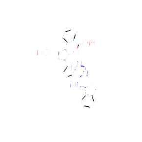 O=C(O)c1ccccc1[C@H]1C[C@@H](c2ccc3c(N[C@H]4CCc5ccccc54)ncnn23)C[C@@H]1CO